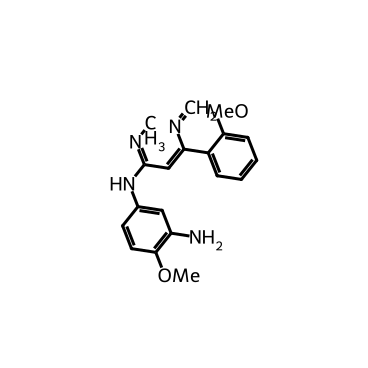 C=N/C(=C\C(=N/C)Nc1ccc(OC)c(N)c1)c1ccccc1OC